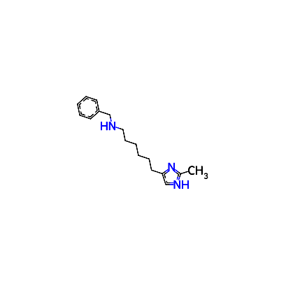 Cc1nc(CCCCCCNCc2ccccc2)c[nH]1